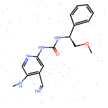 CNc1cnc(NC(=O)N[C@H](COC)c2ccccc2)cc1C=N